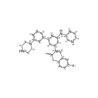 C=C(Cc1ccc(F)cc1F)Nc1cc(Nc2cnccn2)nc(-c2ccnc(N3CCNCC3)c2)c1